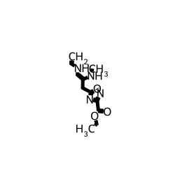 C=CN/C=C(/Cc1nc(C(=O)OCC)no1)NC